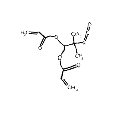 C=CC(=O)OC(OC(=O)C=C)C(C)(C)N=C=O